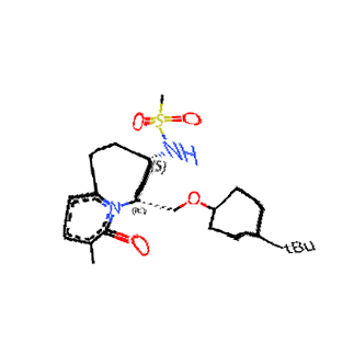 Cc1ccc2n(c1=O)[C@@H](COC1CCC(C(C)(C)C)CC1)[C@@H](NS(C)(=O)=O)CC2